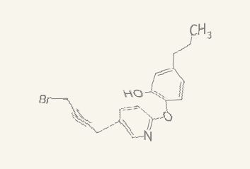 CCCc1ccc(Oc2ccc(CC#CCBr)cn2)c(O)c1